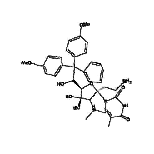 COc1ccc(C(c2ccccc2)(c2ccc(OC)cc2)C(O)[C@H]2O[C@@](CCN)(n3cc(C)c(=O)[nH]c3=O)C([SiH](C)C)[C@@]2(O)C(C)(C)C)cc1